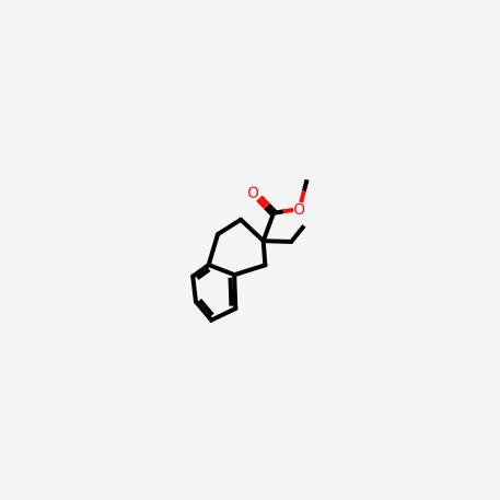 CCC1(C(=O)OC)CCc2ccccc2C1